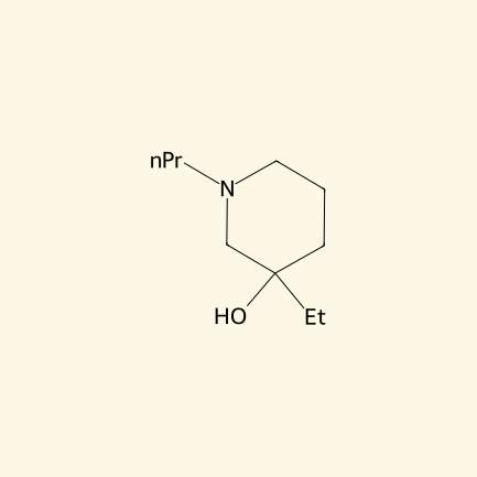 CCCN1CCCC(O)(CC)C1